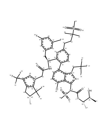 C[C@H](O)[C@H](C)OC(=O)N(c1nn(CC(F)(F)F)c2c(-c3ccc(CCC(C)(C)S(C)(=O)=O)nc3[C@H](Cc3cc(F)cc(F)c3)NC(=O)Cn3nc(C(F)(F)F)c4c3C(F)(F)[C@H](C)C4)ccc(Cl)c12)S(C)(=O)=O